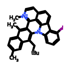 Cc1ccc2c(C)c3c(c(CC(C)(C)C)c2c1)n1c2cccc(I)c2c2ccc4cc[n+](C)c3c4c21